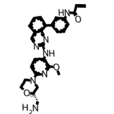 C=CC(=O)Nc1cccc(-c2cccc3cnc(Nc4ccc(N5CCO[C@@H](CN)C5)nc4OC)nc23)c1